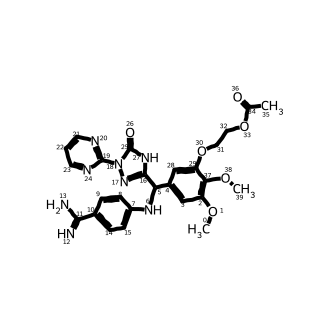 COc1cc(C(Nc2ccc(C(=N)N)cc2)c2nn(-c3ncccn3)c(=O)[nH]2)cc(OCCOC(C)=O)c1OC